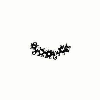 O=C(NCc1ccn2ccnc2c1)c1ccc(C2CCN(C(=O)C3CCOC3)CC2)cc1